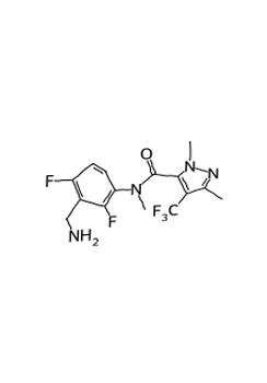 Cc1nn(C)c(C(=O)N(C)c2ccc(F)c(CN)c2F)c1C(F)(F)F